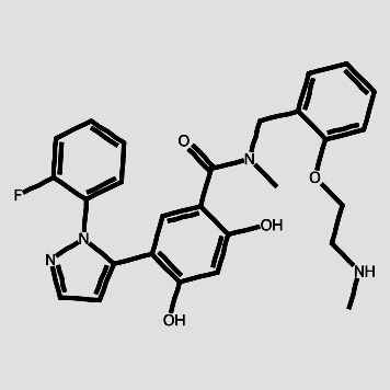 CNCCOc1ccccc1CN(C)C(=O)c1cc(-c2ccnn2-c2ccccc2F)c(O)cc1O